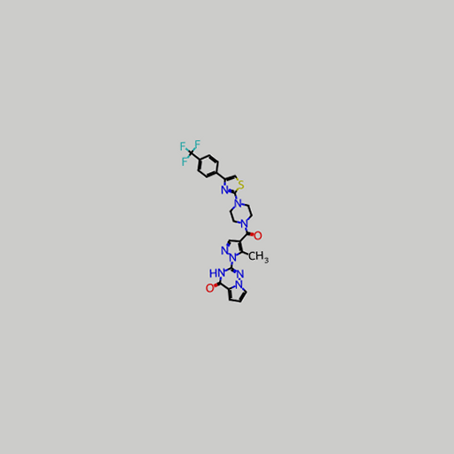 Cc1c(C(=O)N2CCN(c3nc(-c4ccc(C(F)(F)F)cc4)cs3)CC2)cnn1-c1nn2cccc2c(=O)[nH]1